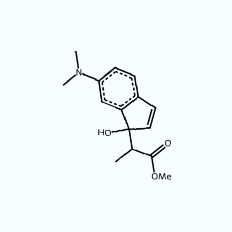 COC(=O)C(C)C1(O)C=Cc2ccc(N(C)C)cc21